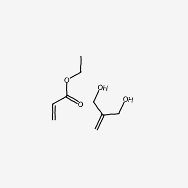 C=C(CO)CO.C=CC(=O)OCC